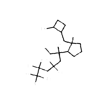 CCCC(I)(CC)C(I)(CC)CC(C)(C)CC(C)(CI)C1CCCC1(I)CC1CCC1CC